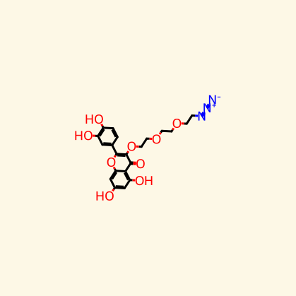 [N-]=[N+]=NCCOCCOCCOc1c(-c2ccc(O)c(O)c2)oc2cc(O)cc(O)c2c1=O